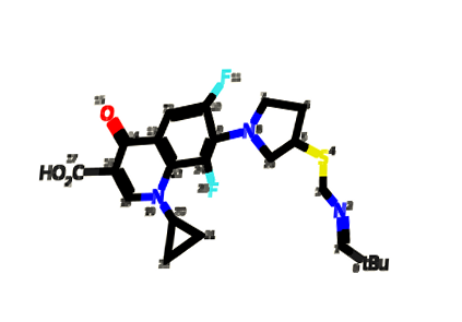 CC(C)(C)C=NCSC1CCN(c2c(F)cc3c(=O)c(C(=O)O)cn(C4CC4)c3c2F)C1